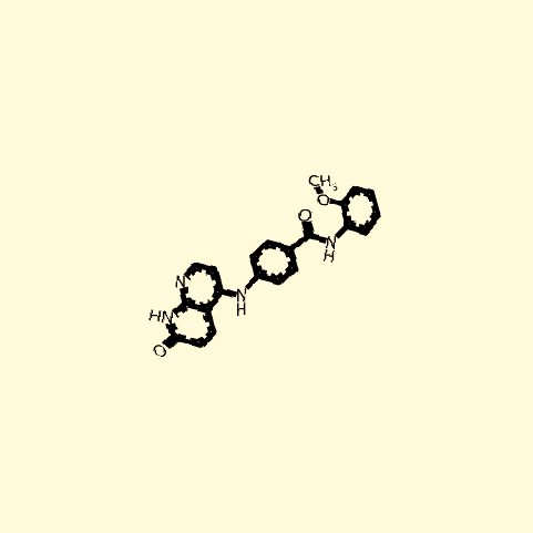 COc1ccccc1NC(=O)c1ccc(Nc2ccnc3[nH]c(=O)ccc23)cc1